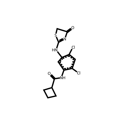 O=C1CSC(Nc2cc(NC(=O)C3CCC3)c(Cl)cc2Cl)=N1